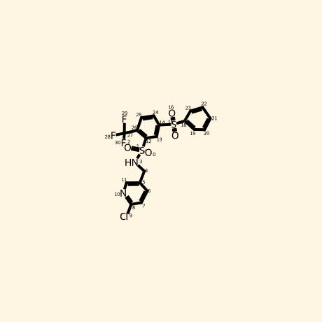 O=S(=O)(NCc1ccc(Cl)nc1)c1cc(S(=O)(=O)c2ccccc2)ccc1C(F)(F)F